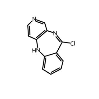 ClC1=Nc2cnccc2Nc2ccccc21